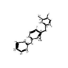 Cc1cnc(Cc2ccnc(Cc3ncccn3)n2)nc1C